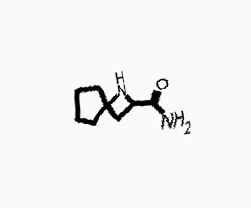 NC(=O)C1CC2(CCCC2)N1